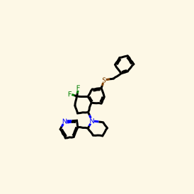 FC1(F)CCC(N2CCCCC2c2cccnc2)c2ccc(SCc3ccccc3)cc21